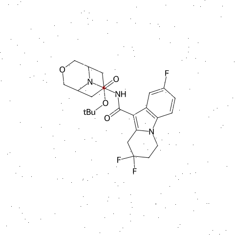 CC(C)(C)OC(=O)N1C2COCC1CC(NC(=O)c1c3n(c4ccc(F)cc14)CCC(F)(F)C3)C2